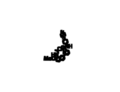 COc1ccc2ccc(-c3cccc(C(=O)N[C@H]4CC[C@@H](N5CCN(C)CC5)CC4)n3)cc2c1NCC(C)C#N